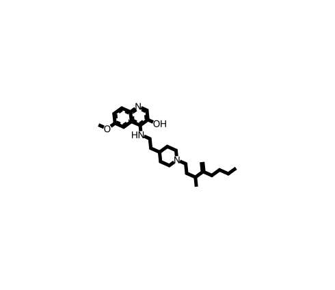 C=C(CCCC)C(C)CCN1CCC(CCNc2c(O)cnc3ccc(OC)cc23)CC1